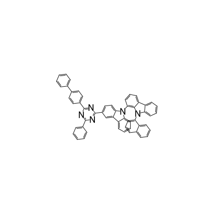 c1ccc(-c2ccc(-c3nc(-c4ccccc4)nc(-c4ccc5c(c4)c4ccccc4n5-c4cccc5c6ccccc6n(-c6cccc7ccccc67)c45)n3)cc2)cc1